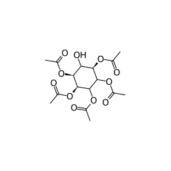 CC(=O)OC1C(OC(C)=O)[C@@H](OC(C)=O)[C@@H](OC(C)=O)C(O)[C@H]1OC(C)=O